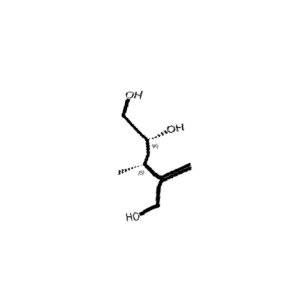 C=C(CO)[C@H](C)[C@@H](O)CO